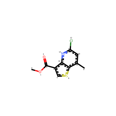 COC(=O)c1csc2c(C)cc(Cl)nc12